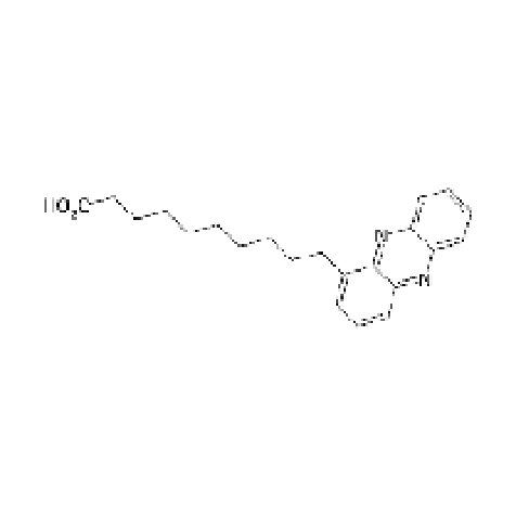 O=C(O)CCCCCCCCCc1cccc2nc3ccccc3nc12